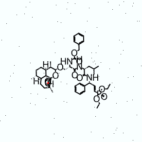 CCOP(=O)(/C=C/[C@@H](NC(=O)[C@H](CC(C)C)NC(=O)[C@H](CO[C@H]1O[C@@H]2O[C@@]3(C)CC[C@H]4[C@H](C)CC[C@@H]([C@H]1C)[C@@]24OO3)NC(=O)OCc1ccccc1)c1ccccc1)OCC